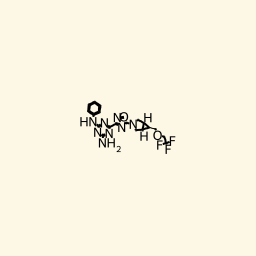 Nc1nc(Nc2ccccc2)nc(-c2noc(N3C[C@@H]4[C@@H](COCC(F)(F)F)[C@@H]4C3)n2)n1